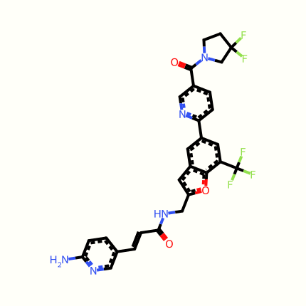 Nc1ccc(/C=C/C(=O)NCc2cc3cc(-c4ccc(C(=O)N5CCC(F)(F)C5)cn4)cc(C(F)(F)F)c3o2)cn1